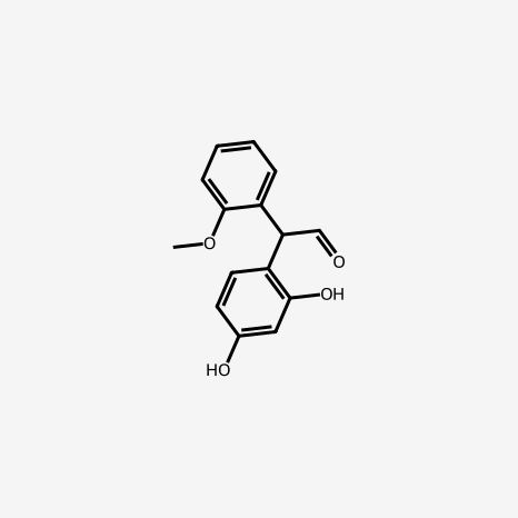 COc1ccccc1C(C=O)c1ccc(O)cc1O